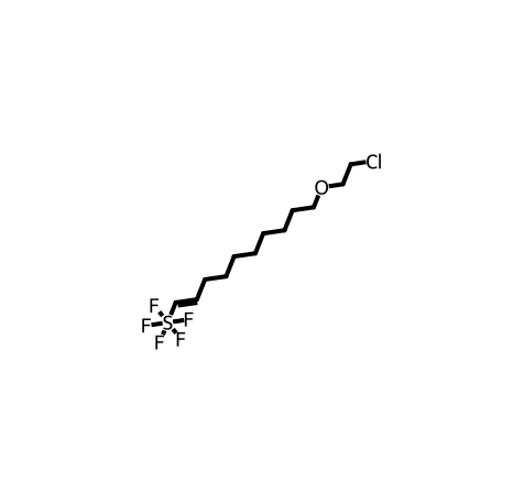 FS(F)(F)(F)(F)/C=C/CCCCCCCCOCCCl